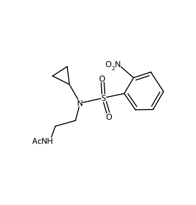 CC(=O)NCCN(C1CC1)S(=O)(=O)c1ccccc1[N+](=O)[O-]